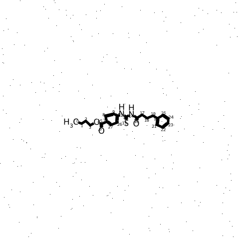 CCCCOC(=O)c1ccc(NC(=S)NC(=O)CCCc2ccccc2)cc1